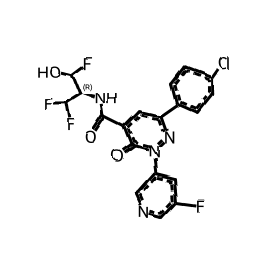 O=C(N[C@H](C(O)F)C(F)F)c1cc(-c2ccc(Cl)cc2)nn(-c2cncc(F)c2)c1=O